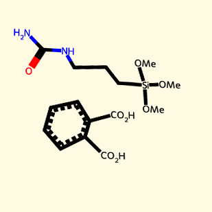 CO[Si](CCCNC(N)=O)(OC)OC.O=C(O)c1ccccc1C(=O)O